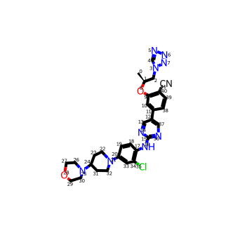 C[C@@H](Cn1cnnn1)Oc1cc(-c2cnc(Nc3ccc(N4CCC(N5CCOCC5)CC4)cc3Cl)nc2)ccc1C#N